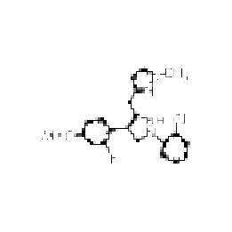 COc1ccc(C2=C(Cc3ccn(C)n3)NN(c3ccccc3Cl)C2)c(F)c1